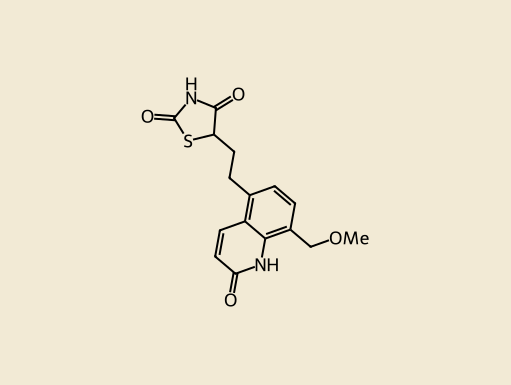 COCc1ccc(CCC2SC(=O)NC2=O)c2ccc(=O)[nH]c12